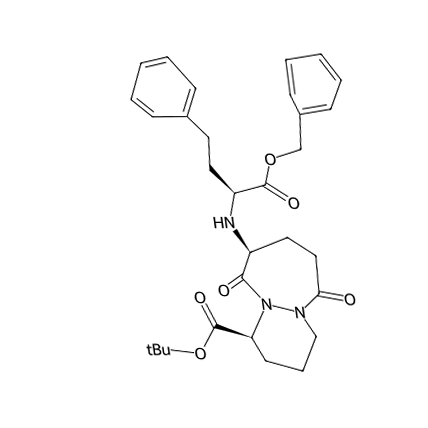 CC(C)(C)OC(=O)[C@@H]1CCCN2C(=O)CC[C@H](N[C@@H](CCc3ccccc3)C(=O)OCc3ccccc3)C(=O)N12